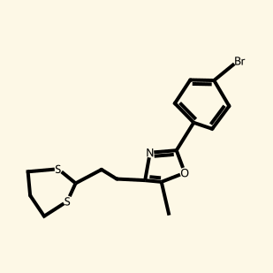 Cc1oc(-c2ccc(Br)cc2)nc1CCC1SCCCS1